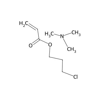 C=CC(=O)OCCCCl.CN(C)C